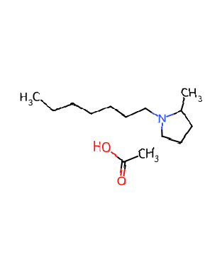 CC(=O)O.CCCCCCCN1CCCC1C